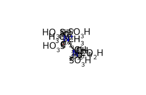 C\C(=C/C=C/C=C/C(C)=[N+](\CCCS(=O)(=O)O)c1cc(S(=O)(=O)O)cc(S(=O)(=O)O)c1C)N(CCCS(=O)(=O)O)c1cccc(C(=O)O)c1C